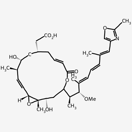 CO[C@@H](/C(C)=C/C=C/C(C)=C/c1coc(C)n1)[C@@H](C)C1C[C@H](O)[C@]2(C)O[C@@H]2/C=C/[C@@H](C)[C@H](O)C[C@H](CC(=O)O)C/C=C/C(=O)O1